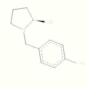 Cc1ccc(CN2CCC[C@H]2C)cc1